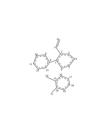 C=Cc1ccccc1-c1ccccc1.Cc1ccccc1C